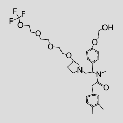 Cc1ccc(CC(=O)N(C)C(CN2CCC(OCCOCCOCCOC(F)(F)F)C2)c2ccc(OCCO)cc2)cc1C